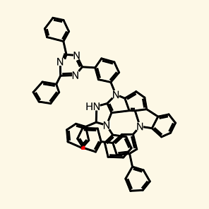 c1ccc(-c2cc(-c3ccccc3)cc(-n3c4ccccc4c4ccc5c(c6c(n5-c5cccc(-c7nc(-c8ccccc8)nc(-c8ccccc8)n7)c5)NC(c5ccccc5)N6c5ccccc5)c43)c2)cc1